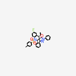 C=C[C@@H]1c2cc(F)ccc2N(S(=O)(=O)c2ccc(C)cc2)[C@H](c2ccccc2)[C@]12C(=O)N(c1ccccc1)N=C2C